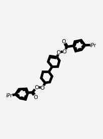 CC(C)c1ccc(C(=O)OOC2=CCC(C3CCC(OOC(=O)c4ccc(C(C)C)cc4)CC3)CC2)cc1